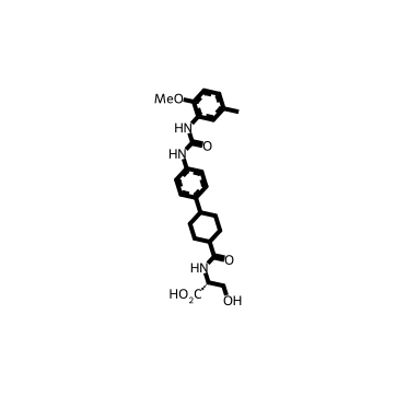 COc1ccc(C)cc1NC(=O)Nc1ccc(C2CCC(C(=O)N[C@H](CO)C(=O)O)CC2)cc1